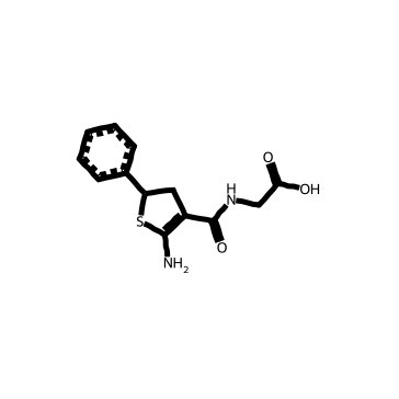 NC1=C(C(=O)NCC(=O)O)CC(c2ccccc2)S1